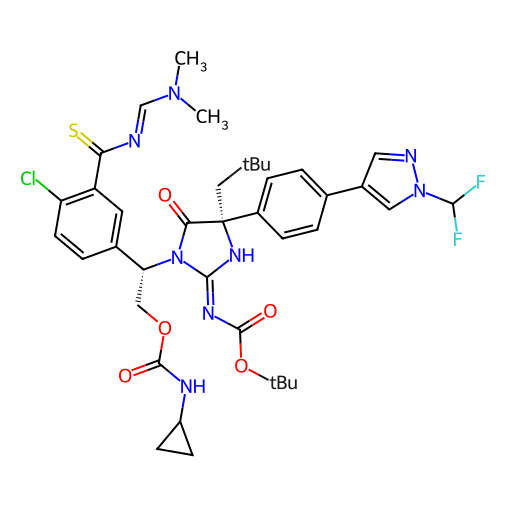 CN(C)/C=N/C(=S)c1cc([C@@H](COC(=O)NC2CC2)N2C(=O)[C@@](CC(C)(C)C)(c3ccc(-c4cnn(C(F)F)c4)cc3)N/C2=N\C(=O)OC(C)(C)C)ccc1Cl